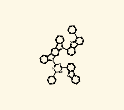 c1ccc(-c2cccc3c2oc2c(-n4c5ccccc5c5cc6c7ccccc7n(C7=NC(c8ccccc8)NC(c8cccc9c8sc8ccccc89)=N7)c6cc54)cccc23)cc1